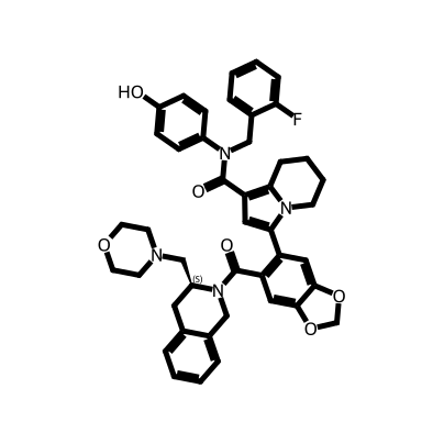 O=C(c1cc(-c2cc3c(cc2C(=O)N2Cc4ccccc4C[C@H]2CN2CCOCC2)OCO3)n2c1CCCC2)N(Cc1ccccc1F)c1ccc(O)cc1